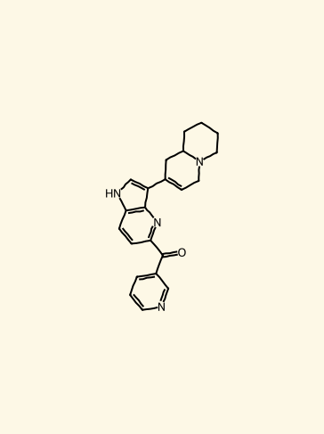 O=C(c1cccnc1)c1ccc2[nH]cc(C3=CCN4CCCCC4C3)c2n1